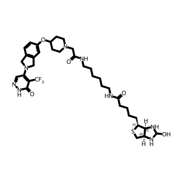 O=C(CCCC[C@@H]1SC[C@@H]2NC(O)N[C@@H]21)NCCCCCCNC(=O)CN1CCC(Oc2ccc3c(c2)CN(c2cn[nH]c(=O)c2C(F)(F)F)C3)CC1